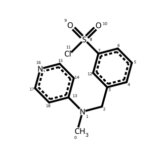 CN(Cc1cccc(S(=O)(=O)Cl)c1)c1ccncc1